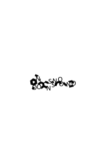 CCN(C[C@H]1COCC(C#N)[C@@H]1CCSc1nc(C(=O)OCCN2CCOCC2)cs1)c1cccc(OC)c1